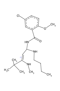 CCCCNC(/C=C(\NC)C(C)(C)C)NC(=O)c1cc(Cl)ccc1OC